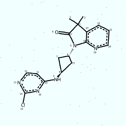 CC1(C)C(=O)N([C@H]2C[C@H](Nc3ccnc(Cl)n3)C2)c2ncccc21